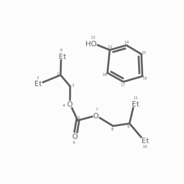 CCC(CC)COC(=O)OCC(CC)CC.Oc1ccccc1